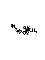 Cn1c(=O)n(C2=CC=C2)c2c3cc(-c4ccc(OCCCN5CCCC5)nc4)ccc3ncc21